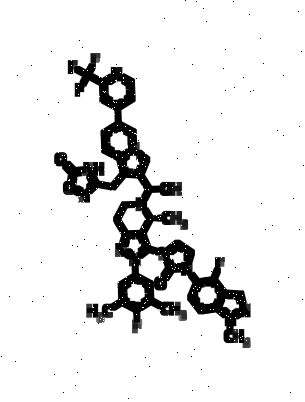 Cc1cc(-n2nc3c(c2-n2ccn(-c4ccc5c(cnn5C)c4F)c2=O)[C@H](C)N(C(O)c2cn4cc(-c5ccnc(C(F)(F)F)c5)ccc4c2Cc2noc(=O)[nH]2)CC3)cc(C)c1F